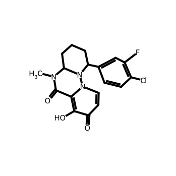 CN1C(=O)c2c(O)c(=O)ccn2N2C(c3ccc(Cl)c(F)c3)CCCC12